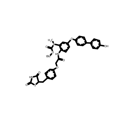 CN(C(=O)OC(C)(C)C)c1cc(Oc2ccc(-c3ccc(O)cc3)cc2)ccc1NC(=O)COc1ccc(CC2SC(=O)NC2=O)cc1